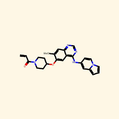 C=CC(=O)N1CCC(Oc2cc3c(Nc4ccn5cccc5c4)ncnc3cc2OC)CC1